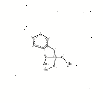 CCCC[O][Ti]([CH2]c1ccccc1)([O]CCCC)[O]CCCC